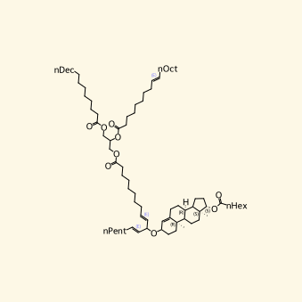 CCCCC/C=C/C(/C=C/CCCCCCCC(=O)OCC(COC(=O)CCCCCCCCCCCCCCCCC)OC(=O)CCCCCCC/C=C/CCCCCCCC)OC1C=C2CC[C@@H]3C(CC[C@@]4(C)C3CC[C@@H]4OC(=O)CCCCCC)[C@@]2(C)CC1